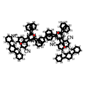 N#Cc1cc(-n2c3ccccc3c3ccc4c5ccccc5n(-c5ccc(-c6nc(-c7ccccc7)nc(-c7cccc(-c8cccc(-c9nc(-c%10ccccc%10)nc(-c%10ccc(-n%11c%12ccccc%12c%12ccc%13c%14ccccc%14n(-c%14ccc(-c%15nc(-c%16ccccc%16)nc(-c%16ccccc%16)n%15)cc%14C#N)c%13c%12%11)c(C#N)c%10)n9)c8)c7)n6)c(C#N)c5)c4c32)ccc1-c1nc(-c2ccccc2)nc(-c2ccccc2)n1